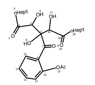 CCCCCCCC(=O)C(O)C(O)(C(=O)c1ccccc1OC(C)=O)C(O)C(=O)CCCCCCC